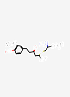 CCCC(CC(=O)CCc1ccc(O)c(OC)c1)SCC(N)C(=O)O